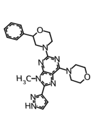 Cn1c(-c2cc[nH]n2)nc2c(N3CCOCC3)nc(N3CCOC(c4ccccc4)C3)nc21